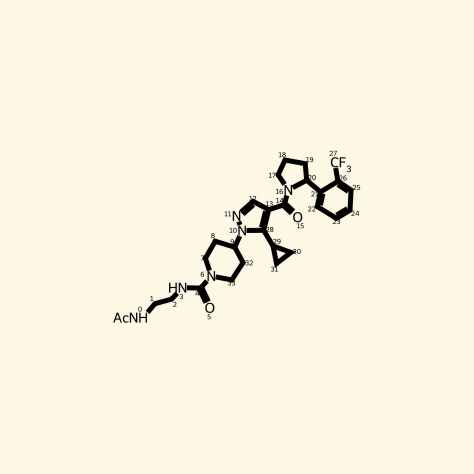 CC(=O)NCCNC(=O)N1CCC(n2ncc(C(=O)N3CCCC3c3ccccc3C(F)(F)F)c2C2CC2)CC1